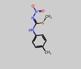 CS/C(=N\[N+](=O)[O-])Nc1ccc(C)cc1